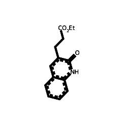 CCOC(=O)CCc1cc2ccccc2[nH]c1=O